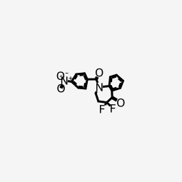 O=C(c1ccc([N+](=O)[O-])cc1)N1CCC(F)(F)C(=O)c2ccccc21